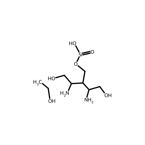 CCO.NC(CO)C(CO[Si](=O)O)C(N)CO